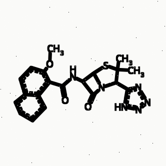 COc1ccc2ccccc2c1C(=O)NC1C(=O)N2C1SC(C)(C)C2c1nnn[nH]1